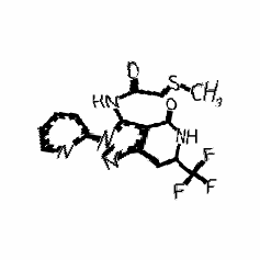 CSCC(=O)Nc1c2c(nn1-c1ccccn1)CC(C(F)(F)F)NC2=O